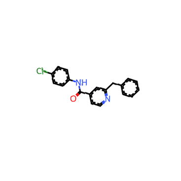 O=C(Nc1ccc(Cl)cc1)c1ccnc(Cc2ccccc2)c1